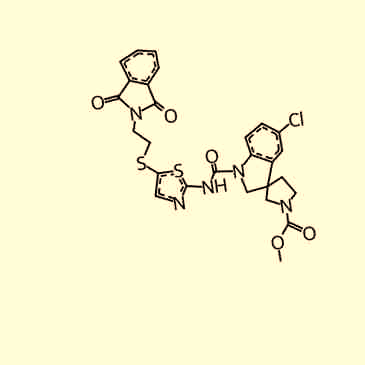 COC(=O)N1CCC2(C1)CN(C(=O)Nc1ncc(SCCN3C(=O)c4ccccc4C3=O)s1)c1ccc(Cl)cc12